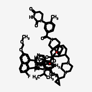 COCOc1cc(-c2ncc3c(N4CC5CCC(C4)N5C(=O)OC(C)(C)C)nc(OCC4(CN5CCN(CC6CCC7(CC6)CCN(C(=O)c6ccc(C)c(N8CCC(=O)NC8=O)c6)CC7)CC5)CC4)nc3c2F)c2c(C#C[Si](C(C)C)(C(C)C)C(C)C)c(F)ccc2c1